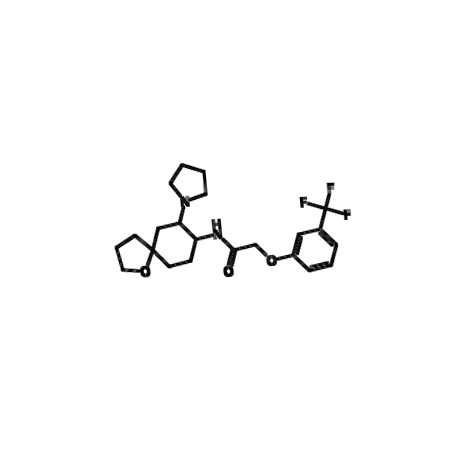 O=C(COc1cccc(C(F)(F)F)c1)NC1CCC2(CCCO2)CC1N1CCCC1